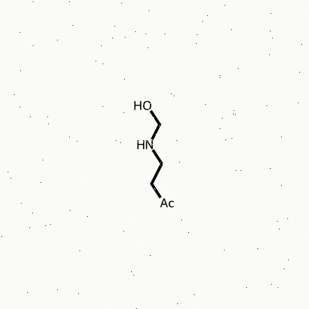 CC(=O)CCNCO